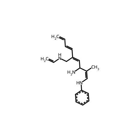 C=C/C=C/C(=C/C(N)/C(C)=C\Nc1ccccc1)CNC=C